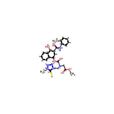 COC(=O)CN(Cn1nnn(C)c1=S)C(=O)Oc1cc(C(=O)Nc2ccccc2C)c(O)c2ccccc12